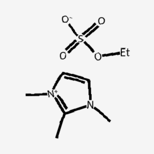 CCOS(=O)(=O)[O-].Cc1n(C)cc[n+]1C